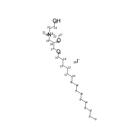 CCCCCCCCCCCCCCCCOCC(C[N+](C)(C)CCO)OC.[I-]